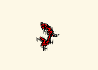 CCCNC(=O)Nc1cccc(S(=O)(=O)Nc2cccc([C@@H](CC(=O)[O-])NC(=O)Nc3ccc(NC(=O)NCCOCCOCCOCCC(=O)N[C@@H](CC(=O)[O-])C(=O)N4CCC[C@H]4C(=O)N[C@H](C(=O)N=[S@](C)(=O)Cc4cc5nc(c4)OCCCOc4cc(F)ccc4-c4cc(ncc4F)N5)C(C)C)cc3)c2)c1.[Na+].[Na+]